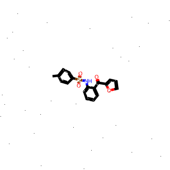 Cc1ccc(S(=O)(=O)Nc2ccccc2C(=O)c2ccco2)cc1